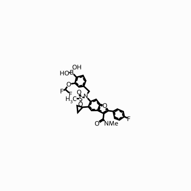 CNC(=O)c1c(-c2ccc(F)cc2)oc2cc(N(Cc3ccc(B(O)O)c(OC(F)F)c3)S(C)(=O)=O)c(C3CC3)cc12